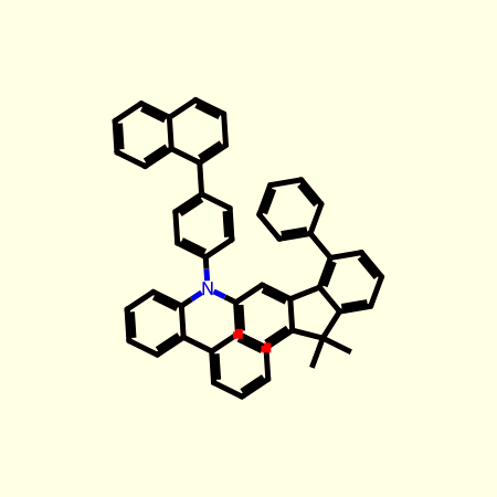 CC1(C)c2ccc(N(c3ccc(-c4cccc5ccccc45)cc3)c3ccccc3-c3ccccc3)cc2-c2c(-c3ccccc3)cccc21